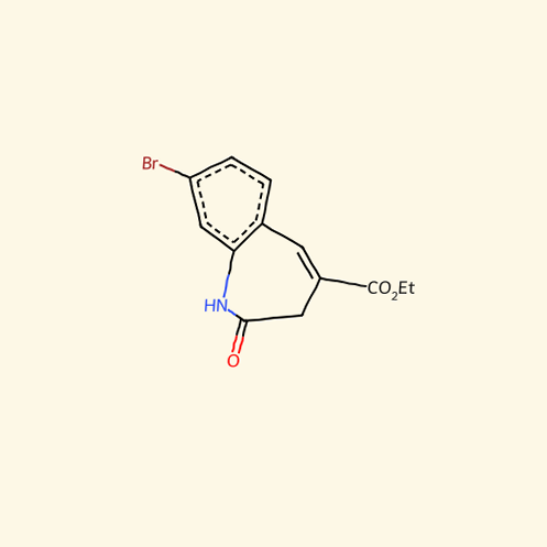 CCOC(=O)C1=Cc2ccc(Br)cc2NC(=O)C1